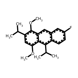 COc1c(C(C)C)cc(OC)c2c(C(C)C)c3ccc(F)cc3cc12